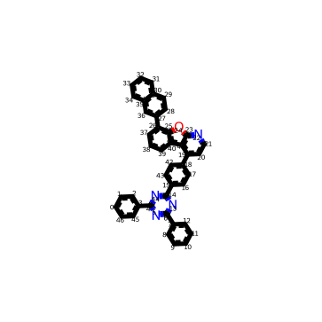 c1ccc(-c2nc(-c3ccccc3)nc(-c3ccc(-c4ccnc5oc6c(-c7ccc8ccccc8c7)cccc6c45)cc3)n2)cc1